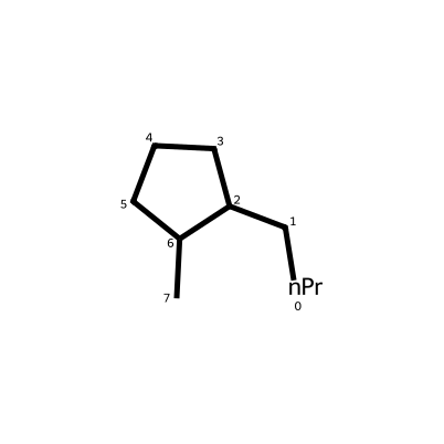 CCCCC1CCCC1C